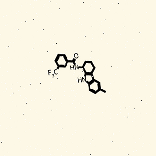 Cc1ccc2[nH]c3c(c2c1)CCCC3NC(=O)c1cccc(C(F)(F)F)c1